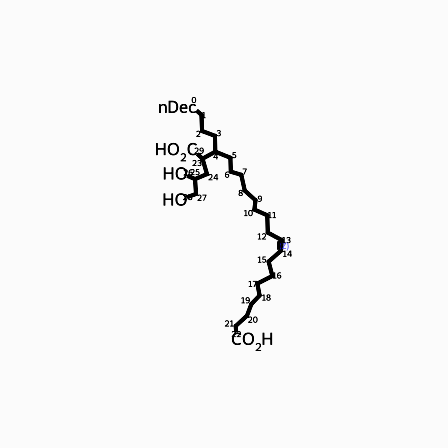 CCCCCCCCCCCCCC(CCCCCCCC/C=C\CCCCCCCC(=O)O)C(CC(O)CO)C(=O)O